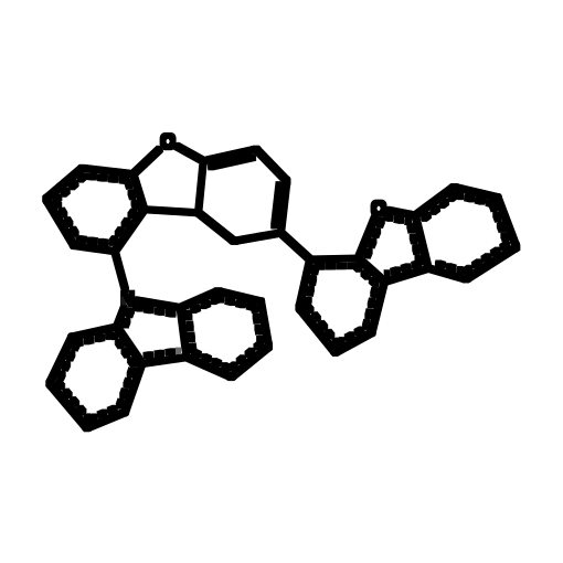 C1=C(c2cccc3c2oc2ccccc23)CC2C(=C1)Oc1cccc(-n3c4ccccc4c4ccccc43)c12